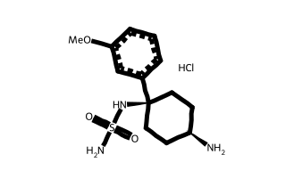 COc1cccc([C@]2(NS(N)(=O)=O)CC[C@@H](N)CC2)c1.Cl